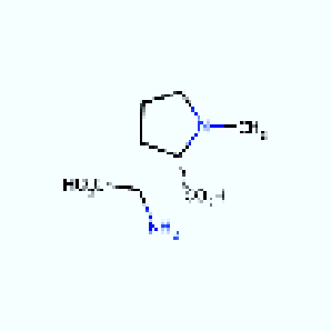 CN1CCC[C@H]1C(=O)O.NCC(=O)O